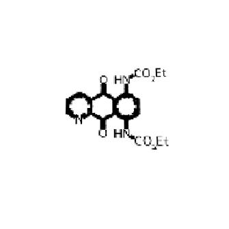 CCOC(=O)Nc1ccc(NC(=O)OCC)c2c1C(=O)c1cccnc1C2=O